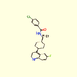 CC[C@@H](NC(=O)c1ccc(Cl)cc1)[C@H]1CC[C@H](c2ccnc3ccc(F)cc32)CC1